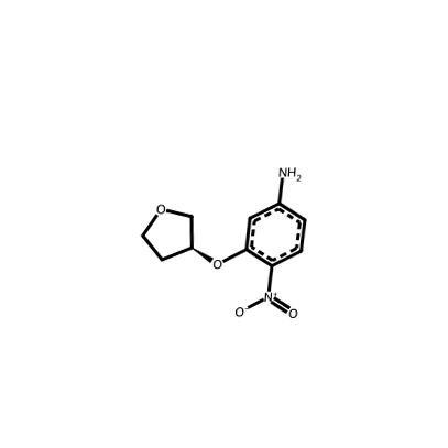 Nc1ccc([N+](=O)[O-])c(O[C@H]2CCOC2)c1